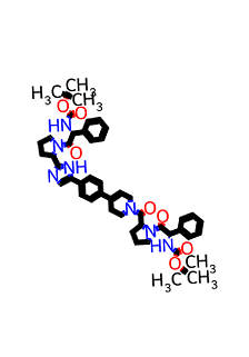 CC(C)(C)OC(=O)N[C@H](C(=O)N1CCCC1C(=O)N1CC=C(c2ccc(-c3cnc(C4CCCN4C(=O)[C@H](NC(=O)OC(C)(C)C)c4ccccc4)[nH]3)cc2)CC1)c1ccccc1